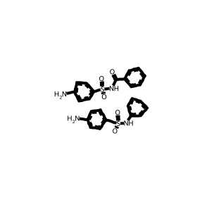 Nc1ccc(S(=O)(=O)NC(=O)c2ccccc2)cc1.Nc1ccc(S(=O)(=O)Nc2ccccc2)cc1